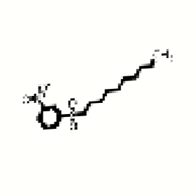 C=CCCCCCCCCS(=O)(=O)c1cccc([N+](=O)[O-])c1